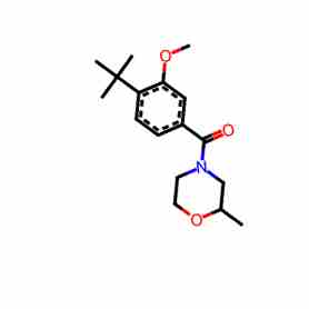 COc1cc(C(=O)N2CCOC(C)C2)ccc1C(C)(C)C